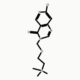 C[Si](C)(C)CCOCn1cnc2cc(Cl)ncc2c1=O